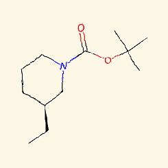 CC[C@H]1CCCN(C(=O)OC(C)(C)C)C1